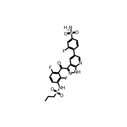 CCCS(=O)(=O)Nc1ccc(F)c(C(=O)c2n[nH]c3ncc(-c4ccc(S(N)(=O)=O)cc4F)cc23)c1F